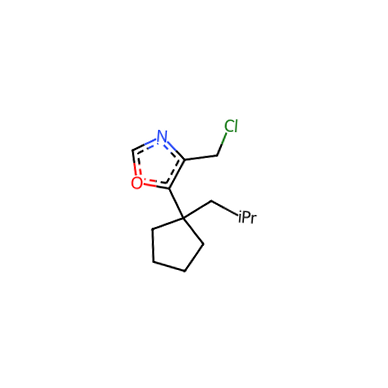 CC(C)CC1(c2ocnc2CCl)CCCC1